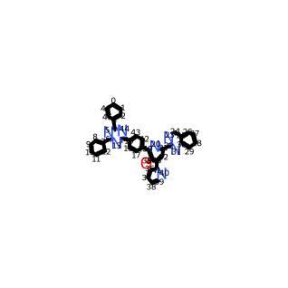 c1ccc(-c2nc(-c3ccccc3)nc(-c3ccc(-c4nc(-c5ncc6ccccc6n5)cc5c4oc4cccnc45)cc3)n2)cc1